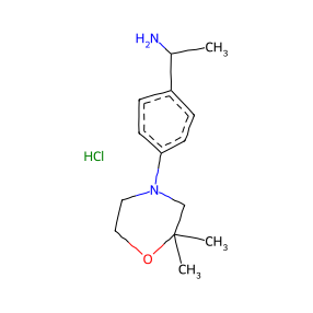 CC(N)c1ccc(N2CCOC(C)(C)C2)cc1.Cl